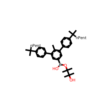 CCCCCC(C)(C)c1ccc(-c2cc(B(O)OC(C)(C)C(C)(C)O)cc(-c3ccc(C(C)(C)CCCCC)cc3)c2C)cc1